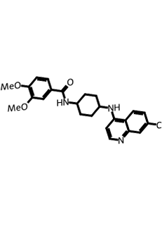 COc1ccc(C(=O)NC2CCC(Nc3ccnc4cc(Cl)ccc34)CC2)cc1OC